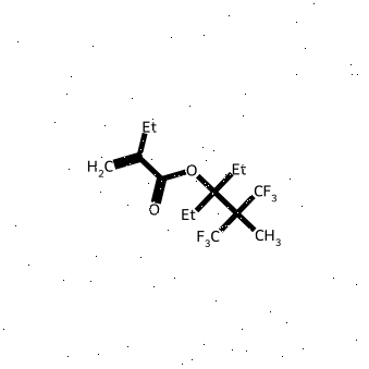 C=C(CC)C(=O)OC(CC)(CC)C(C)(C(F)(F)F)C(F)(F)F